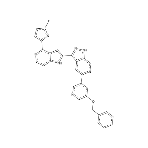 Fc1ccc(-c2nccc3[nH]c(-c4n[nH]c5cnc(-c6cncc(OCc7ccccc7)c6)cc45)cc23)s1